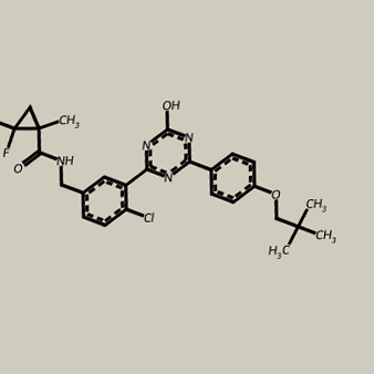 CC(C)(C)COc1ccc(-c2nc(O)nc(-c3cc(CNC(=O)C4(C)CC4(F)F)ccc3Cl)n2)cc1